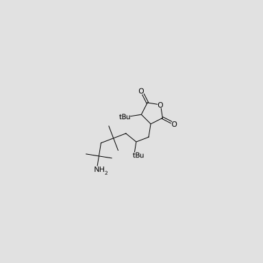 CC(C)(N)CC(C)(C)CC(CC1C(=O)OC(=O)C1C(C)(C)C)C(C)(C)C